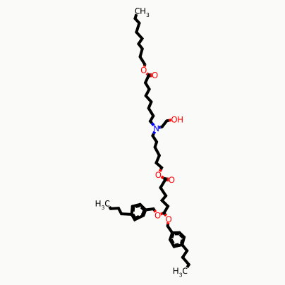 CCCCCCCCCOC(=O)CCCCCCCN(CCO)CCCCCCOC(=O)CCCCC(OCc1ccc(CCCC)cc1)OCc1ccc(CCCC)cc1